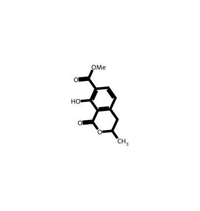 COC(=O)c1ccc2c(c1O)C(=O)OC(C)C2